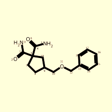 NC(=O)C1(C(N)=O)CCC(COCc2ccccc2)C1